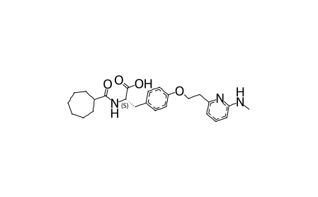 CNc1cccc(CCOc2ccc(C[C@H](NC(=O)C3CCCCCC3)C(=O)O)cc2)n1